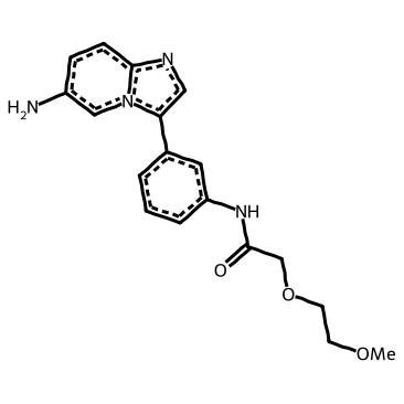 COCCOCC(=O)Nc1cccc(-c2cnc3ccc(N)cn23)c1